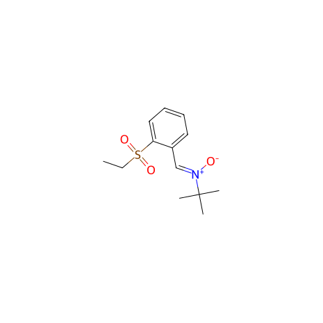 CCS(=O)(=O)c1ccccc1C=[N+]([O-])C(C)(C)C